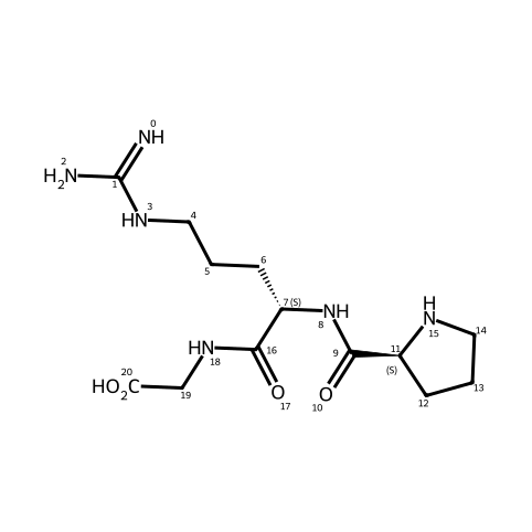 N=C(N)NCCC[C@H](NC(=O)[C@@H]1CCCN1)C(=O)NCC(=O)O